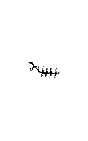 CCC(=O)OCC(F)(F)C(F)(F)C(F)(F)C(F)(F)F